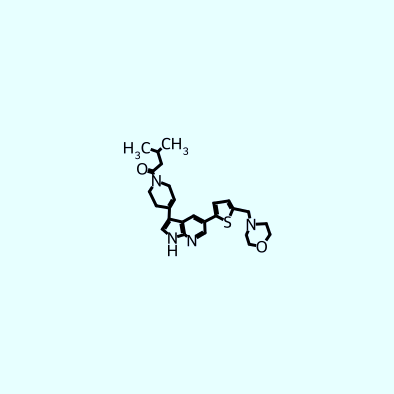 CC(C)CC(=O)N1CC=C(c2c[nH]c3ncc(-c4ccc(CN5CCOCC5)s4)cc23)CC1